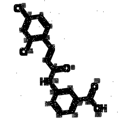 O=C(C=Cc1ccc(Cl)cc1Cl)Nc1cccc(C(=O)O)c1